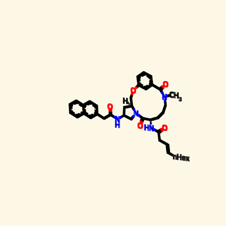 CCCCCCC=CCC(=O)N[C@H]1CCCN(C)C(=O)c2cccc(c2)OC[C@@H]2C[C@H](NC(=O)Cc3ccc4ccccc4c3)CN2C1=O